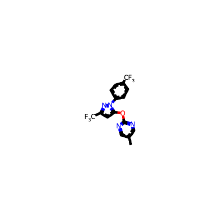 Cc1cnc(Oc2cc(C(F)(F)F)nn2-c2ccc(C(F)(F)F)cc2)nc1